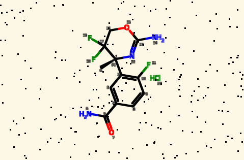 C[C@]1(c2cc(C(N)=O)ccc2F)N=C(N)OCC1(F)F.Cl